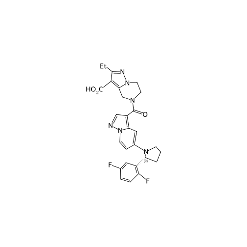 CCc1nn2c(c1C(=O)O)CN(C(=O)c1cnn3ccc(N4CCC[C@@H]4c4cc(F)ccc4F)cc13)CC2